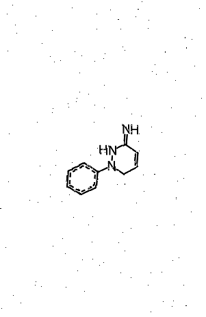 N=C1C=CCN(c2ccccc2)N1